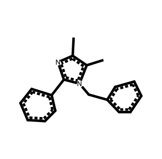 Cc1nc(-c2ccccc2)n(Cc2ccccc2)c1C